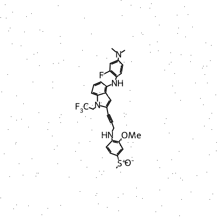 COc1cc([S+](C)[O-])ccc1NCC#Cc1cc2c(Nc3ccc(N(C)C)cc3F)cccc2n1CC(F)(F)F